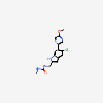 CNC(=O)NCc1cc2cc(Cl)c(-c3cnc(OC)cn3)cc2[nH]1